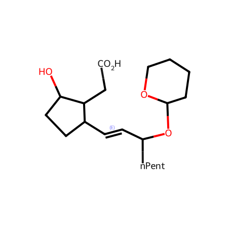 CCCCCC(/C=C/C1CCC(O)C1CC(=O)O)OC1CCCCO1